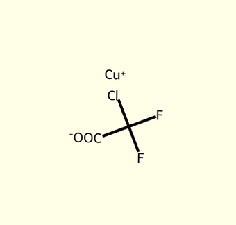 O=C([O-])C(F)(F)Cl.[Cu+]